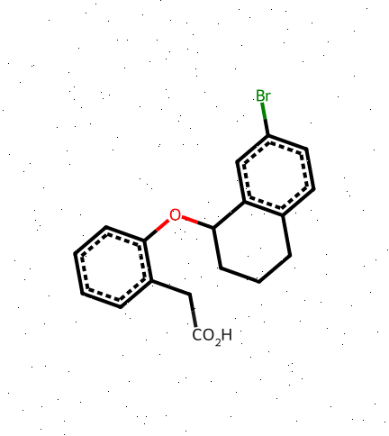 O=C(O)Cc1ccccc1OC1CCCc2ccc(Br)cc21